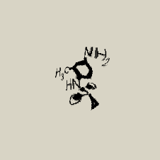 Cc1cc(N)ccc1NS(=O)(=O)C1CC1